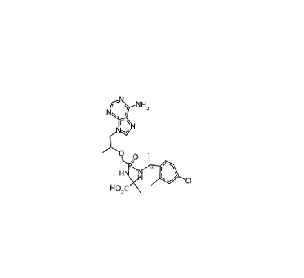 Cc1cc(Cl)ccc1[C@@H](C)NP(=O)(COC(C)Cn1cnc2c(N)ncnc21)NC(C)(C)C(=O)O